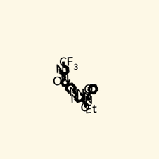 CCOc1nn(C2CCCCO2)c2nc(N3CCC4(CC3)CC(=O)N(c3ccc(C(F)(F)F)nc3)C4)ncc12